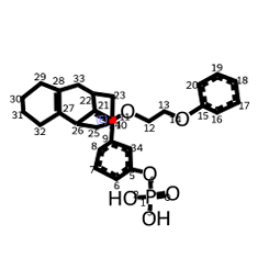 O=P(O)(O)Oc1cccc(/C(OCCOc2ccccc2)=C2/C3CCCC2C2=C(CCCC2)C3)c1